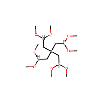 CO[SiH](C[Si](C[SiH](OC)OC)(C[SiH](OC)OC)C[SiH](OC)OC)OC